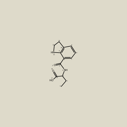 CCC(NC(=O)c1cccc2c1NCC2)C(=O)O